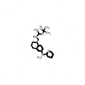 CN(c1ccc2c(c1)CCC[C@H]2CNC(O)OC(C)(C)C)c1ccccn1